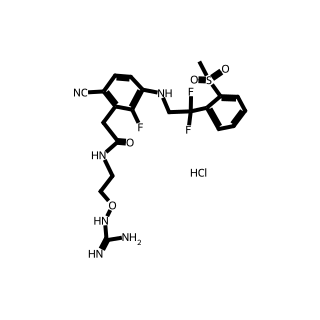 CS(=O)(=O)c1ccccc1C(F)(F)CNc1ccc(C#N)c(CC(=O)NCCONC(=N)N)c1F.Cl